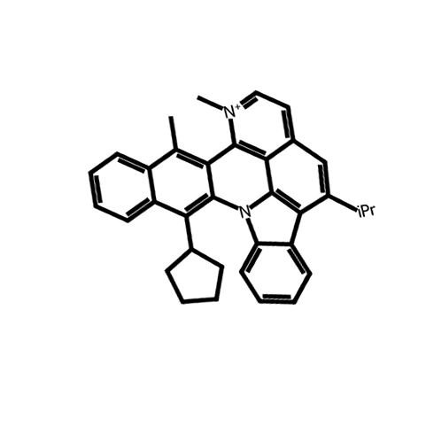 Cc1c2ccccc2c(C2CCCC2)c2c1c1c3c(cc[n+]1C)cc(C(C)C)c1c4ccccc4n2c13